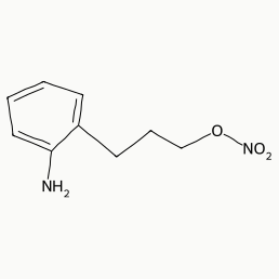 Nc1ccccc1CCCO[N+](=O)[O-]